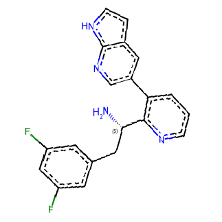 N[C@@H](Cc1cc(F)cc(F)c1)c1ncccc1-c1cnc2[nH]ccc2c1